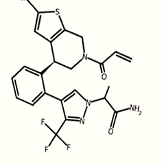 C=CC(=O)N1Cc2sc(Cl)cc2[C@H](c2ccccc2-c2cn(C(C)C(N)=O)nc2C(F)(F)F)C1